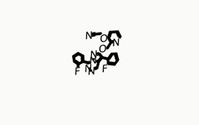 N#CCOc1cccnc1COc1nn2c(-c3ccccc3F)nncc2c1-c1ccccc1F